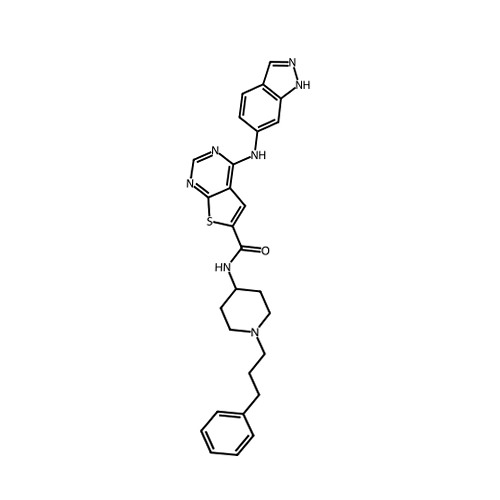 O=C(NC1CCN(CCCc2ccccc2)CC1)c1cc2c(Nc3ccc4cn[nH]c4c3)ncnc2s1